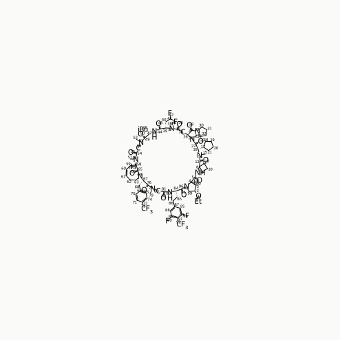 CCO[C@@H]1C[C@H]2C(=O)NC3(CCC3)C(=O)N(C)[C@@H](C3CCCC3)C(=O)N(C)[C@H](C(=O)N3CCCC3)CC(=O)N(C)[C@@H](CC(F)F)C(=O)N[C@@H]([C@@H](C)CC)C(=O)N(C)CC(=O)N(C)[C@H]3C/C=C\CCN(C3=O)[C@@H](Cc3ccc(C(F)(F)F)cc3)C(=O)N(C)CC(=O)N[C@@H](CCc3cc(F)c(C(F)(F)F)c(F)c3)C(=O)N2C1